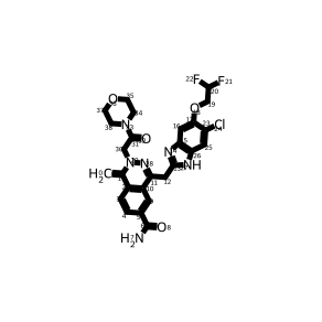 C=C1c2ccc(C(N)=O)cc2C(Cc2nc3cc(OCC(F)F)c(Cl)cc3[nH]2)=NN1CC(=O)N1CCOCC1